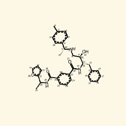 Cc1ccc([C@@H](C)NC[C@@H](O)[C@H](Cc2ccccc2)NC(=O)c2cccc(C(=O)NC(C)c3ccco3)c2)cc1